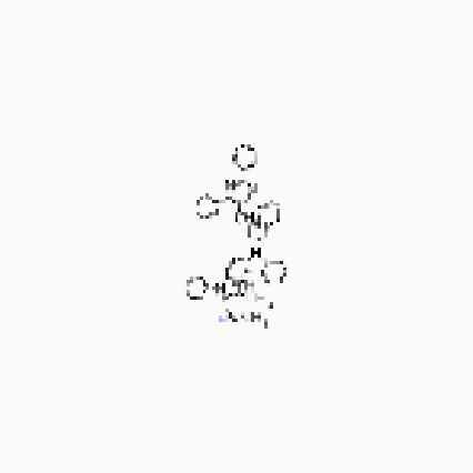 C/C=C\C1=C(C)[C@H]2C3c4ccccc4N(C4C=c5cccc(-c6nc(-c7ccccc7)nc(C7=CCCC=C7)c6C)c5=CC4)C3C=CC2N1c1ccccc1